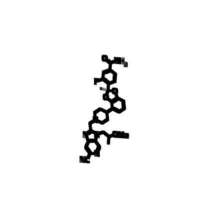 COC(C)Cn1c(CN2CCC(c3cccc4c3O[C@@](C)(c3ccc(C(N)=O)cc3F)O4)CC2)nc2cc(C#N)ncc21